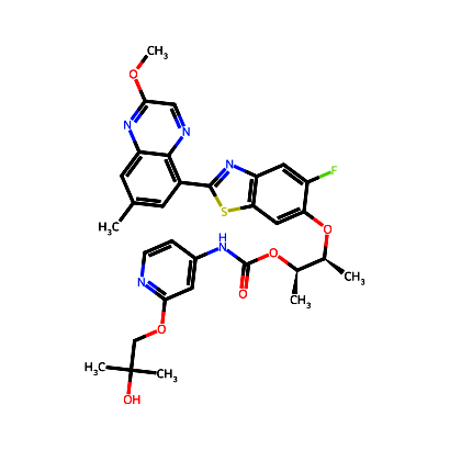 COc1cnc2c(-c3nc4cc(F)c(O[C@@H](C)[C@@H](C)OC(=O)Nc5ccnc(OCC(C)(C)O)c5)cc4s3)cc(C)cc2n1